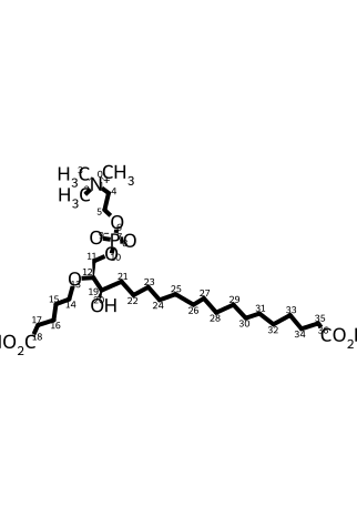 C[N+](C)(C)CCOP(=O)([O-])OC[C@H](OCCCCC(=O)O)[C@H](O)CCCCCCCCCCCCCCCC(=O)O